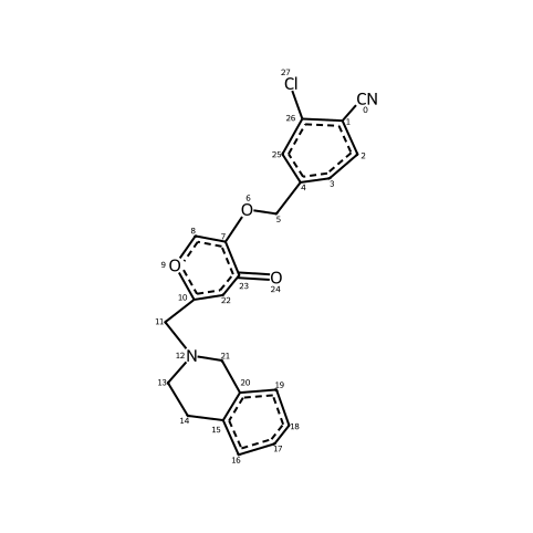 N#Cc1ccc(COc2coc(CN3CCc4ccccc4C3)cc2=O)cc1Cl